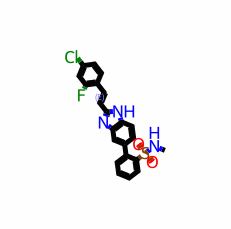 CNS(=O)(=O)c1ccccc1-c1ccc2[nH]c(/C=C/c3ccc(Cl)cc3F)nc2c1